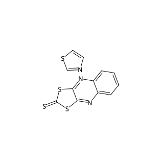 S=c1sc2nc3ccccc3nc2s1.c1cscn1